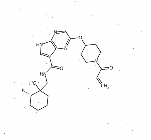 C=CC(=O)N1CCC(Oc2cnc3[nH]cc(C(=O)NCC4(O)CCCC[C@@H]4F)c3n2)CC1